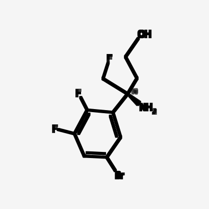 N[C@@](CF)(CCO)c1cc(Br)cc(F)c1F